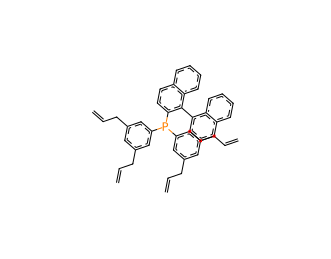 C=CCc1cc(CC=C)cc(P(c2cc(CC=C)cc(CC=C)c2)c2ccc3ccccc3c2-c2cccc3ccccc23)c1